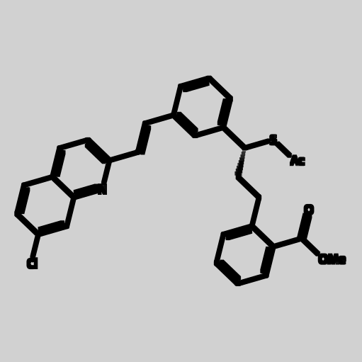 COC(=O)c1ccccc1CC[C@@H](SC(C)=O)c1cccc(/C=C/c2ccc3ccc(Cl)cc3n2)c1